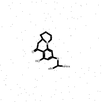 CCCCCCC(CCC)Oc1cc(O)c2c(c1)N1CCCCC1CC2=O